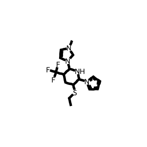 CCSC1CC(C(F)(F)F)C(N2C=CN(C)C2)NC1n1cccc1